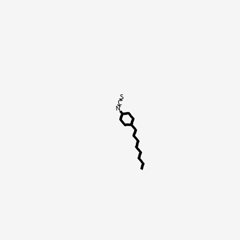 CCCCCCCC[C]1CCC(N=C=S)CC1